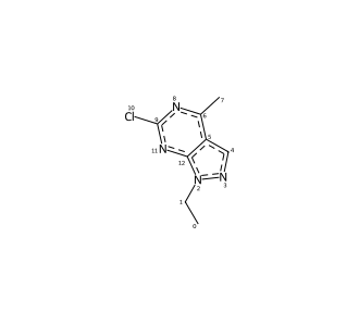 CCn1ncc2c(C)nc(Cl)nc21